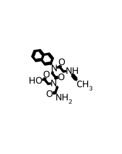 CC#CNCC(=O)N(CC(=O)N(CC(N)=O)CC(=O)O)c1ccc2ccccc2c1